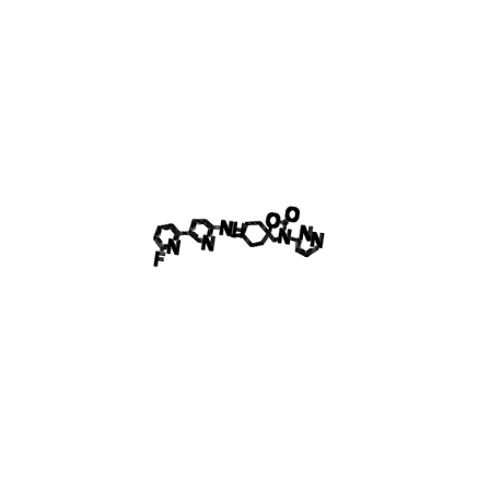 O=C1OC2(CCC(CNc3ccc(-c4cccc(F)n4)cn3)CC2)CN1c1cccnn1